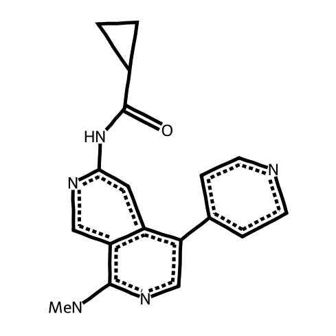 CNc1ncc(-c2ccncc2)c2cc(NC(=O)C3CC3)ncc12